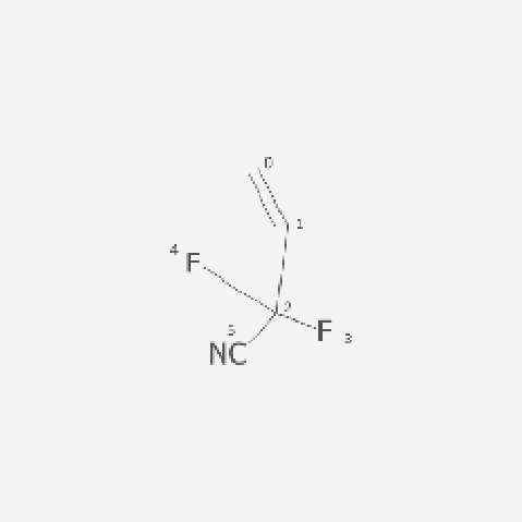 C=CC(F)(F)C#N